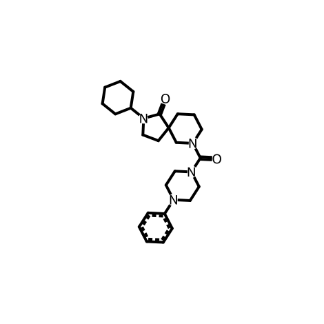 O=C(N1CCN(c2ccccc2)CC1)N1CCCC2(CCN(C3CCCCC3)C2=O)C1